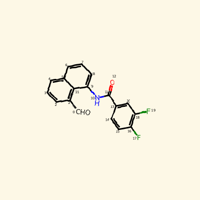 O=Cc1cccc2cccc(NC(=O)c3ccc(F)c(F)c3)c12